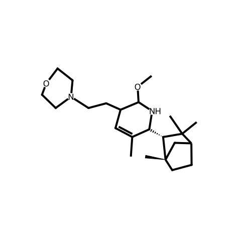 COC1NC([C@@H]2C(C)(C)C3CC[C@@]2(C)C3)C(C)=CC1CCN1CCOCC1